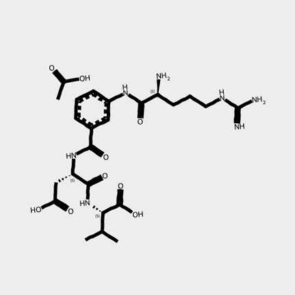 CC(=O)O.CC(C)[C@H](NC(=O)[C@H](CC(=O)O)NC(=O)c1cccc(NC(=O)[C@@H](N)CCCNC(=N)N)c1)C(=O)O